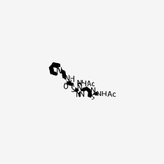 CC(=O)Nc1nc(Cc2nnc(SCC(=O)NC=CN3C=CC=CC3)n2NC(C)=O)cs1